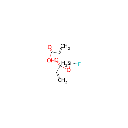 C=CC(=O)O.C=CC(=O)O[SiH2]F